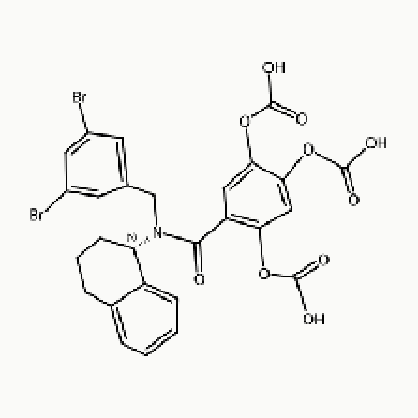 O=C(O)Oc1cc(OC(=O)O)c(C(=O)N(Cc2cc(Br)cc(Br)c2)[C@H]2CCCc3ccccc32)cc1OC(=O)O